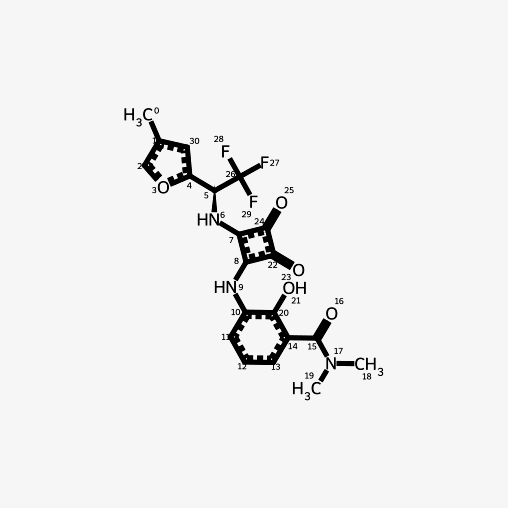 Cc1coc([C@H](Nc2c(Nc3cccc(C(=O)N(C)C)c3O)c(=O)c2=O)C(F)(F)F)c1